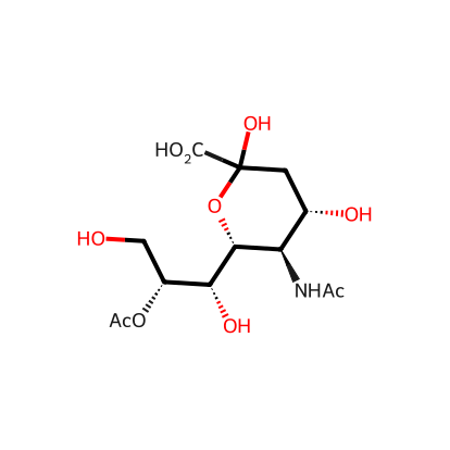 CC(=O)N[C@H]1[C@H]([C@H](O)[C@@H](CO)OC(C)=O)OC(O)(C(=O)O)C[C@@H]1O